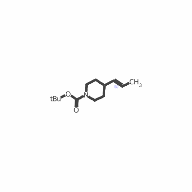 C/C=C/C1CCN(C(=O)OC(C)(C)C)CC1